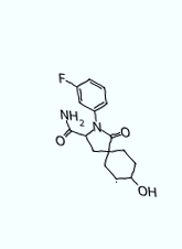 NC(=O)C1CC2(C[CH]C(O)CC2)C(=O)N1c1cccc(F)c1